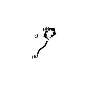 OCC[n+]1cc[nH]c1.[Cl-]